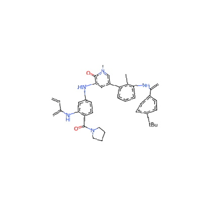 C=CC(=C)Nc1cc(Nc2cc(-c3cccc(NC(=C)c4ccc(C(C)(C)C)cc4)c3C)cn(C)c2=O)ccc1C(=O)N1CCCC1